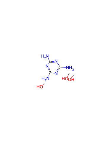 CO.CO.CO.Nc1nc(N)nc(N)n1